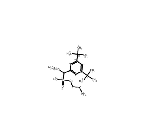 CC(C)(C)c1cc(C(O)P(=O)(O)OCCN)cc(C(C)(C)C)c1.[CaH2]